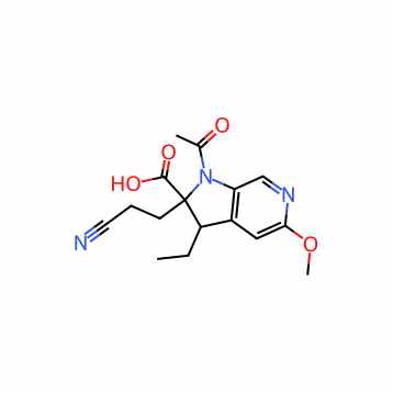 CCC1c2cc(OC)ncc2N(C(C)=O)C1(CCC#N)C(=O)O